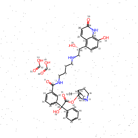 O=C(NCCCCNC[C@H](O)c1ccc(O)c2[nH]c(=O)ccc12)c1cccc(C(O)(C(=O)O[C@@H]2CN3CCC2CC3)c2ccccc2)c1.O=CO.O=CO